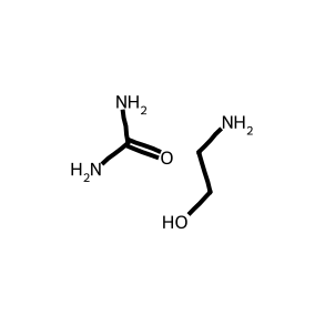 NC(N)=O.NCCO